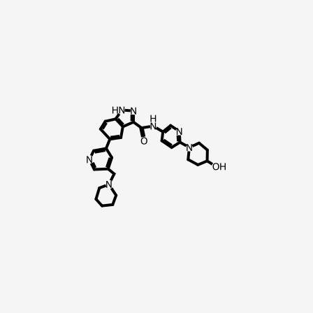 O=C(Nc1ccc(N2CCC(O)CC2)nc1)c1n[nH]c2ccc(-c3cncc(CN4CCCCC4)c3)cc12